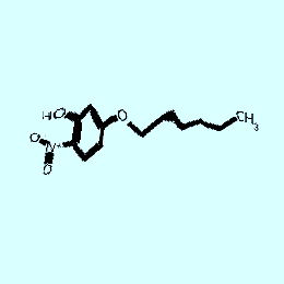 CCCCCCOc1ccc([N+](=O)[O-])c(O)c1